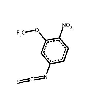 O=[N+]([O-])c1ccc(N=C=S)cc1OC(F)(F)F